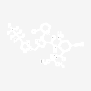 Cc1cc(C#N)cc(C(=O)NC(C)C)c1NC(=O)c1cc(Cn2ncc(C(F)(F)C(F)(F)C(F)(F)F)n2)nn1-c1ncccc1Cl